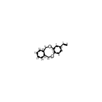 C=Cc1ccc2c(c1)OCc1ccccc1CO2